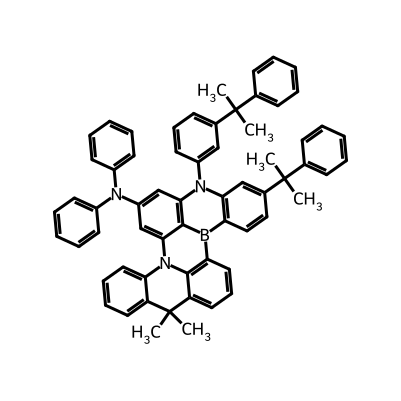 CC(C)(c1ccccc1)c1cccc(N2c3cc(C(C)(C)c4ccccc4)ccc3B3c4cccc5c4N(c4ccccc4C5(C)C)c4cc(N(c5ccccc5)c5ccccc5)cc2c43)c1